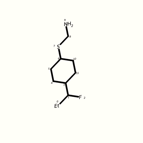 CCC(F)C1CCC(SCN)CC1